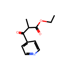 CCOC(=O)C(C)C(=O)c1ccncc1